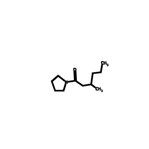 CCCC(C)CC(=O)N1CCCC1